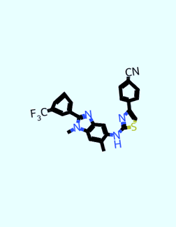 Cc1cc2c(cc1Nc1nc(-c3ccc(C#N)cc3)cs1)nc(-c1cccc(C(F)(F)F)c1)n2C